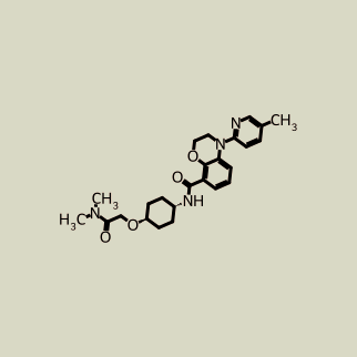 Cc1ccc(N2CCOc3c(C(=O)N[C@H]4CC[C@H](OCC(=O)N(C)C)CC4)cccc32)nc1